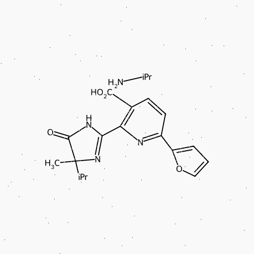 CC(C)C1(C)N=C(c2nc(-c3ccco3)ccc2C(=O)O)NC1=O.CC(C)N